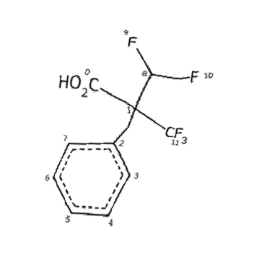 O=C(O)C(c1ccccc1)(C(F)F)C(F)(F)F